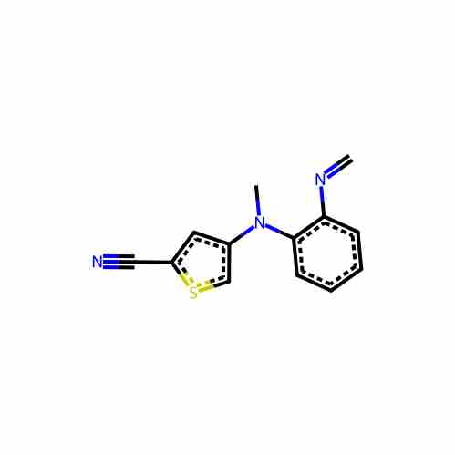 C=Nc1ccccc1N(C)c1csc(C#N)c1